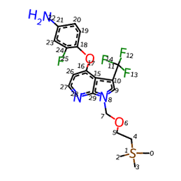 CS(C)(C)CCOCn1cc(C(F)(F)F)c2c(Oc3ccc(N)cc3F)ccnc21